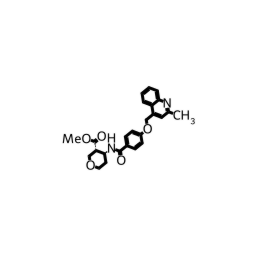 COC(=O)[C@H]1COCC[C@H]1NC(=O)c1ccc(OCc2cc(C)nc3ccccc23)cc1